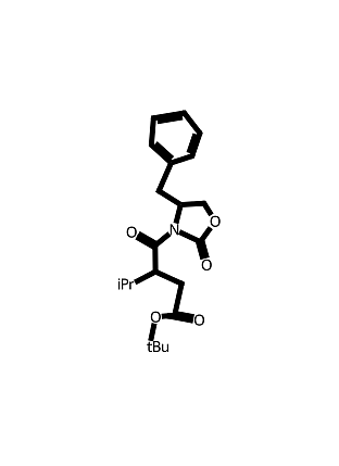 CC(C)C(CC(=O)OC(C)(C)C)C(=O)N1C(=O)OCC1Cc1ccccc1